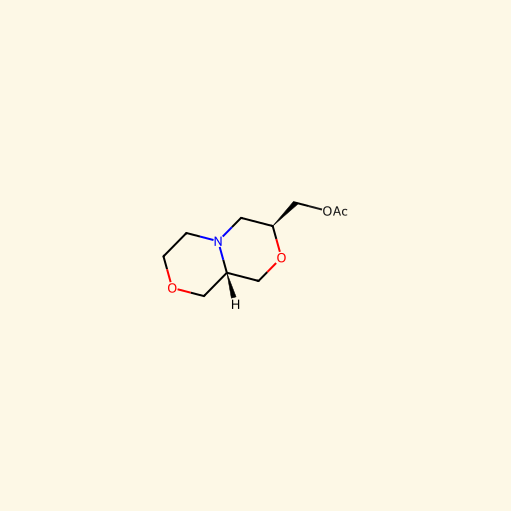 CC(=O)OC[C@@H]1CN2CCOC[C@H]2CO1